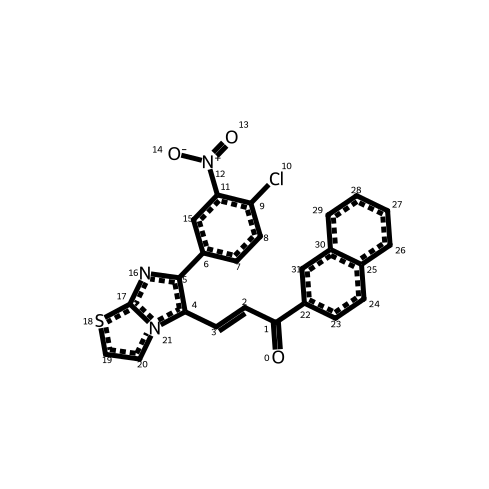 O=C(C=Cc1c(-c2ccc(Cl)c([N+](=O)[O-])c2)nc2sccn12)c1ccc2ccccc2c1